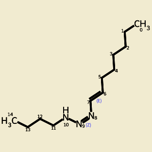 CCCCCC/C=C/N=N\NCCCC